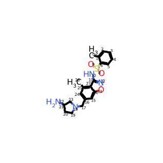 Cc1ccccc1S(=O)(=O)Nc1noc2cc(CN3CCC(N)C3)cc(C)c12